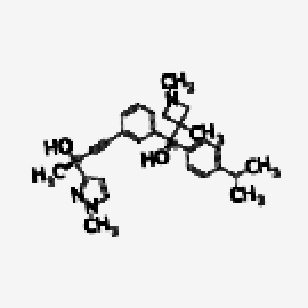 CC(C)c1ccc([C@](O)(c2cccc(C#C[C@@](C)(O)c3ccn(C)n3)c2)C2(C)CN(C)C2)cc1